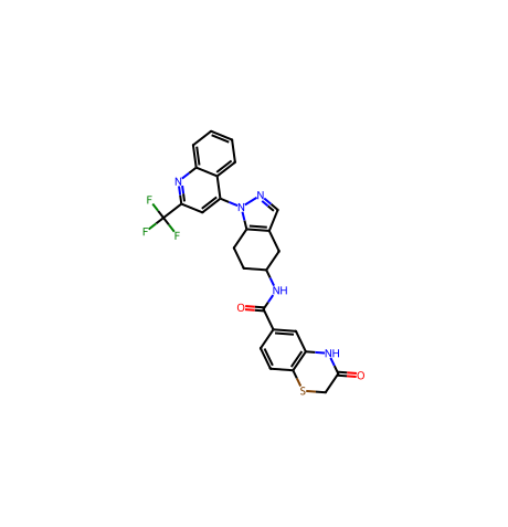 O=C1CSc2ccc(C(=O)NC3CCc4c(cnn4-c4cc(C(F)(F)F)nc5ccccc45)C3)cc2N1